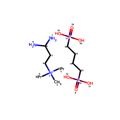 CCC[N+](C)(CCC)CCC(N)N.O=P(O)(O)CCCCP(=O)(O)O